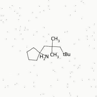 CC(C)(C)CC(C)(C)CC1(N)CCCC1